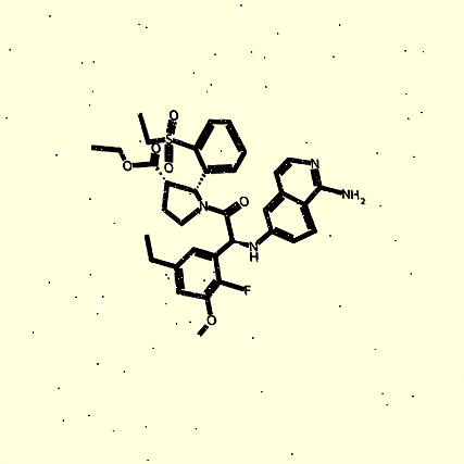 CCOC(=O)[C@H]1CCN(C(=O)[C@@H](Nc2ccc3c(N)nccc3c2)c2cc(CC)cc(OC)c2F)[C@H]1c1ccccc1S(=O)(=O)CC